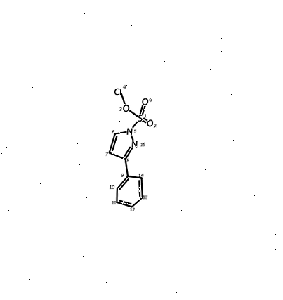 O=S(=O)(OCl)n1ccc(-c2ccccc2)n1